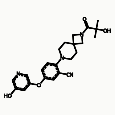 CC(C)(O)C(=O)N1CC2(CCN(c3ccc(Oc4cncc(O)c4)cc3C#N)CC2)C1